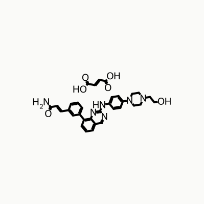 NC(=O)C=Cc1cccc(-c2cccc3cnc(Nc4ccc(N5CCN(CCO)CC5)cc4)nc23)c1.O=C(O)C=CC(=O)O